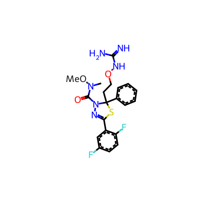 CON(C)C(=O)N1N=C(c2cc(F)ccc2F)SC1(CCONC(=N)N)c1ccccc1